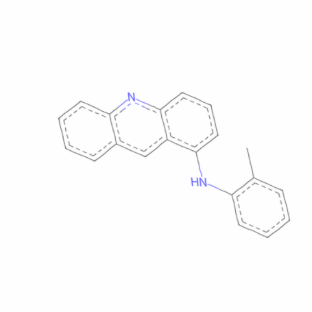 Cc1ccccc1Nc1cccc2nc3ccccc3cc12